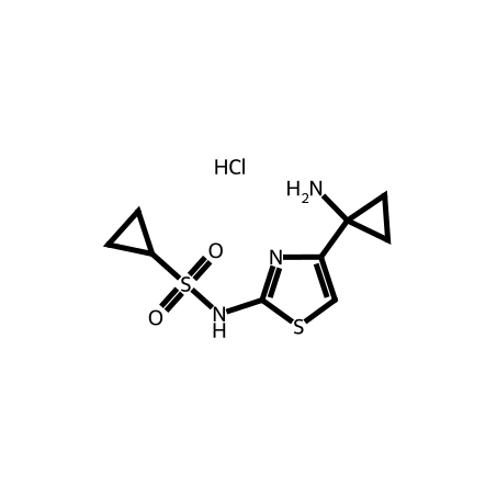 Cl.NC1(c2csc(NS(=O)(=O)C3CC3)n2)CC1